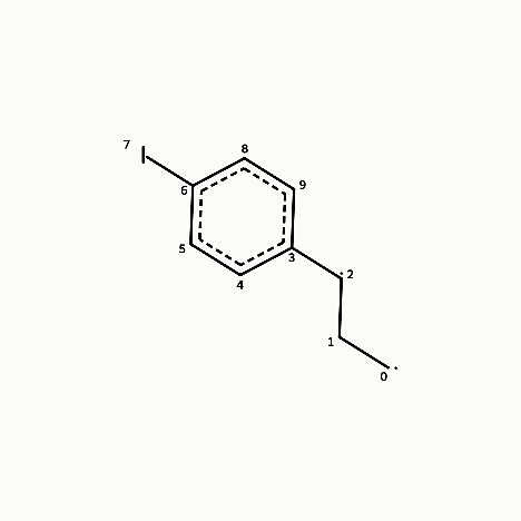 [CH2]C[CH]c1ccc(I)cc1